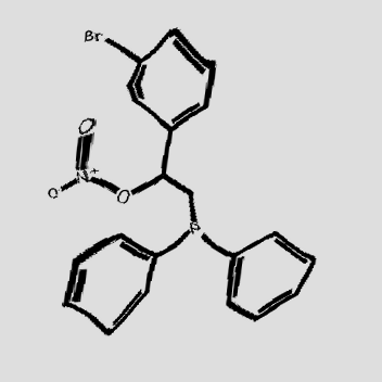 O=[N+]([O-])OC(CP(c1ccccc1)c1ccccc1)c1cccc(Br)c1